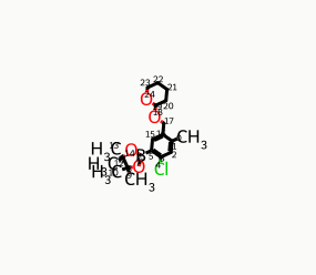 Cc1cc(Cl)c(B2OC(C)(C)C(C)(C)O2)cc1COC1CCCCO1